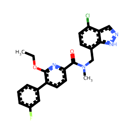 CCOc1nc(C(=O)N(C)Cc2ccc(Cl)c3cn[nH]c23)ccc1-c1cccc(F)c1